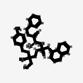 Cc1ccc(CCC(N)(CO)COP(=O)(N[C@H](C)C(=O)OCc2ccccc2)Oc2cccc3ccccc23)cc1